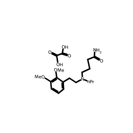 CCCN(CCCC(N)=O)CCc1cccc(OC)c1OC.O=C(O)C(=O)O